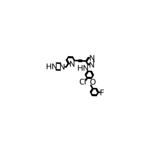 Fc1cccc(COc2ccc(Nc3ncncc3C#Cc3cccc(CN4CCNCC4)n3)cc2Cl)c1